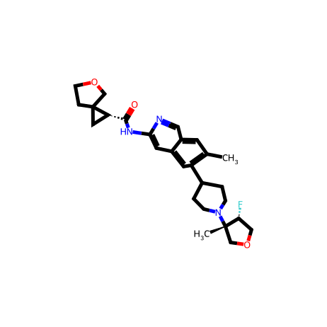 Cc1cc2cnc(NC(=O)[C@@H]3CC34CCOC4)cc2cc1C1CCN([C@@]2(C)COC[C@H]2F)CC1